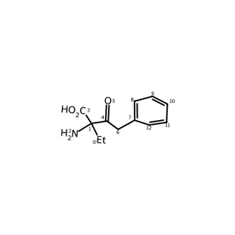 CCC(N)(C(=O)O)C(=O)Cc1ccccc1